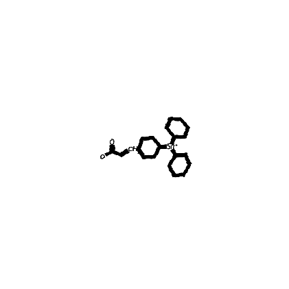 C1CC[CH]([Sn+]([CH]2CCCCC2)[CH]2CCCCC2)CC1.C=CC(=O)[O-]